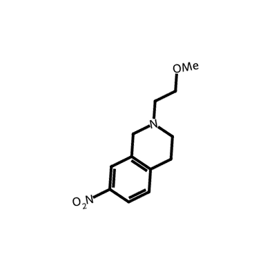 COCCN1CCc2ccc([N+](=O)[O-])cc2C1